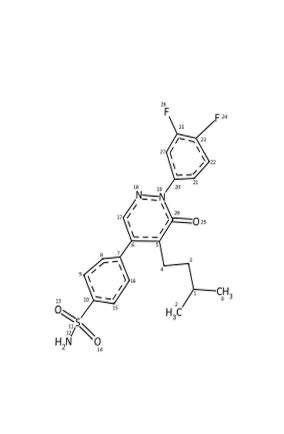 CC(C)CCc1c(-c2ccc(S(N)(=O)=O)cc2)cnn(-c2ccc(F)c(F)c2)c1=O